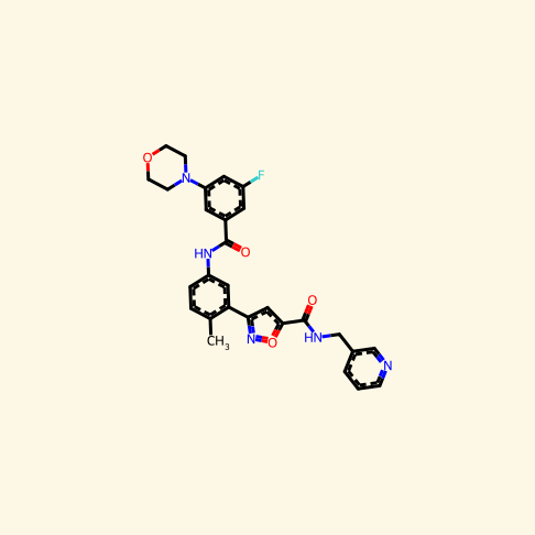 Cc1ccc(NC(=O)c2cc(F)cc(N3CCOCC3)c2)cc1-c1cc(C(=O)NCc2cccnc2)on1